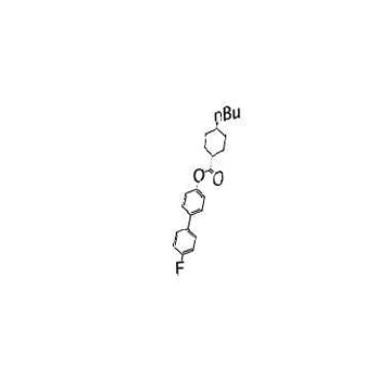 CCCC[C@H]1CC[C@H](C(=O)Oc2ccc(-c3ccc(F)cc3)cc2)CC1